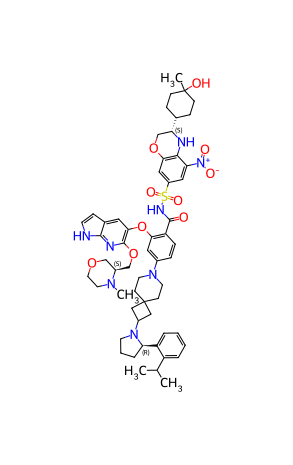 CC(C)c1ccccc1[C@H]1CCCN1C1CC2(CCN(c3ccc(C(=O)NS(=O)(=O)c4cc5c(c([N+](=O)[O-])c4)N[C@@H](C4CCC(C)(O)CC4)CO5)c(Oc4cc5cc[nH]c5nc4OC[C@@H]4COCCN4C)c3)CC2)C1